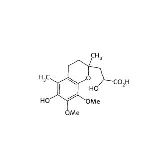 COc1c(O)c(C)c2c(c1OC)OC(C)(CC(O)C(=O)O)CC2